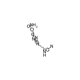 N#Cc1ccc2[nH]cc(CCCCN3CCN(c4ncc(OCc5ccc(C(N)=O)cc5)cn4)CC3)c2c1